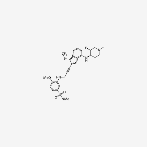 CNS(=O)(=O)c1ccc(OC)c(NCC#Cc2cc3c(N[C@@H]4CCN(C)C[C@@H]4F)cccn3c2SC(F)(F)F)c1